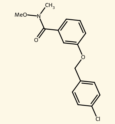 CON(C)C(=O)c1cccc(OCc2ccc(Cl)cc2)c1